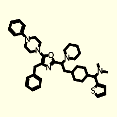 CN(C)C(c1cccs1)C1CCC(CC(c2nc(Cc3ccccc3)c(N3CCN(c4ccccc4)CC3)o2)N2CCCCC2)CC1